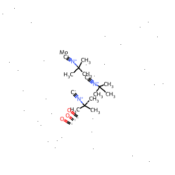 [C-]#[N+]C(C)(C)C.[C-]#[N+]C(C)(C)C.[C-]#[N+]C(C)(C)C.[C]=O.[C]=O.[C]=O.[Mo]